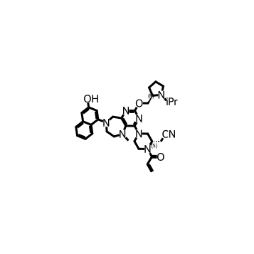 C=CC(=O)N1CCN(c2nc(OC[C@H]3CCCN3C(C)C)nc3c2N(C)CCN(c2cc(O)cc4ccccc24)C3)C[C@@H]1CC#N